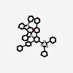 c1ccc(-c2ccc(-c3cc(-c4nc(-c5ccccc5)nc(-c5ccccc5)n4)cc(-c4ccc(-c5ccccc5)cc4)c3-n3c4ccccc4c4c5c6ccccc6n(-c6ccccc6)c5ccc43)cc2)cc1